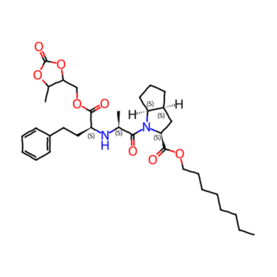 CCCCCCCCOC(=O)[C@@H]1C[C@@H]2CCC[C@@H]2N1C(=O)[C@H](C)N[C@@H](CCc1ccccc1)C(=O)OCC1OC(=O)OC1C